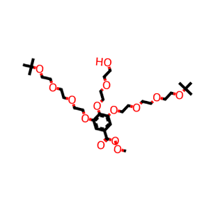 COOC(=O)c1cc(OCCOCCOCCOC(C)(C)C)c(OCCOCCO)c(OCCOCCOCCOC(C)(C)C)c1